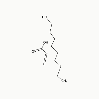 CCCCCCCCCO.O=CC(=O)O